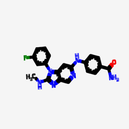 CNc1nc2cnc(Nc3ccc(C(N)=O)cc3)cc2n1-c1cccc(F)c1